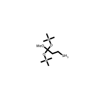 COC(CC[SiH3])(O[Si](C)(C)C)O[Si](C)(C)C